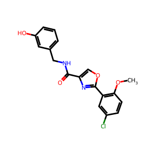 COc1ccc(Cl)cc1-c1nc(C(=O)NCc2cccc(O)c2)co1